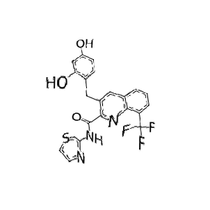 O=C(Nc1nccs1)c1nc2c(C(F)(F)F)cccc2cc1Cc1ccc(O)cc1O